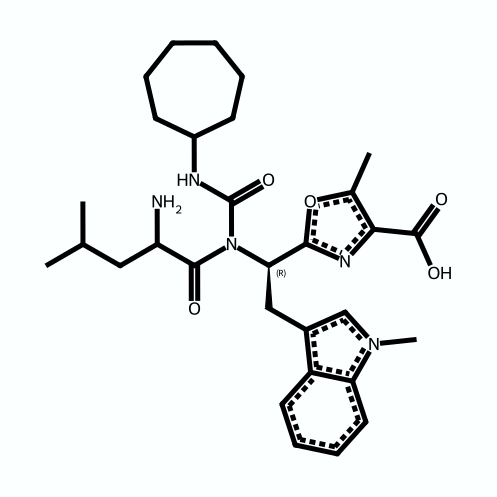 Cc1oc([C@@H](Cc2cn(C)c3ccccc23)N(C(=O)NC2CCCCCC2)C(=O)C(N)CC(C)C)nc1C(=O)O